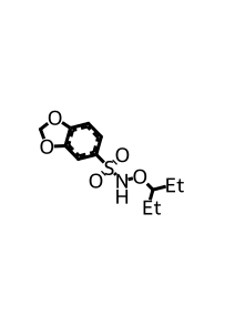 CCC(CC)ONS(=O)(=O)c1ccc2c(c1)OCO2